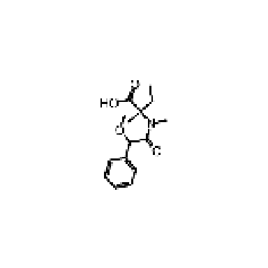 CC[C@@](C)(C(=O)O)N(C)C(=O)C(OC)c1ccccc1